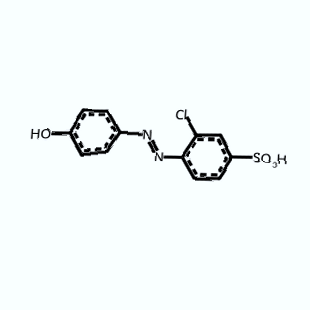 O=S(=O)(O)c1ccc(N=Nc2ccc(O)cc2)c(Cl)c1